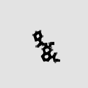 COC(=O)c1cccc2c1OB(O)[C@@H](NC(=O)c1ccccc1)C2